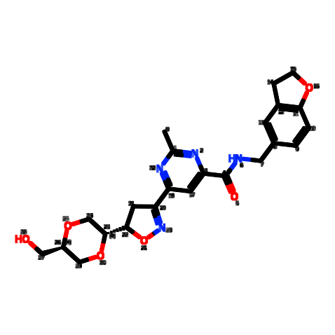 Cc1nc(C(=O)NCc2ccc3c(c2)CCO3)cc(C2=NOC([C@H]3CO[C@H](CO)CO3)C2)n1